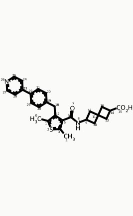 Cc1sc(C)c(C(=O)NC2CC3(C2)CC(C(=O)O)C3)c1Cc1ccc(-c2ccncc2)cc1